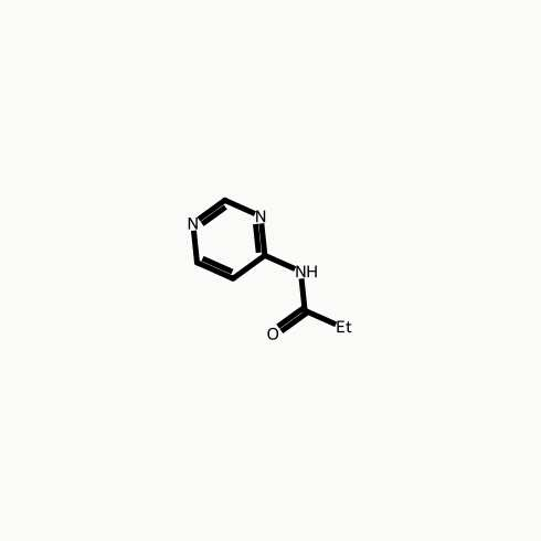 CCC(=O)Nc1ccncn1